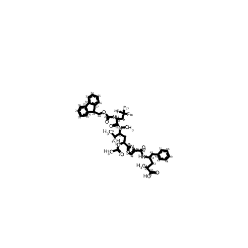 CC(=O)OC(CC(C(C)C)N(C)C(=O)C(CC(F)(F)F)NC(=O)OCC1c2ccccc2-c2ccccc21)c1nc(C(=O)NC(Cc2ccccc2)CC(C)C(=O)O)cs1